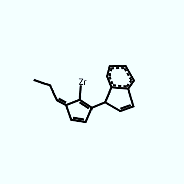 CCC=C1C=CC(C2C=Cc3ccccc32)=[C]1[Zr]